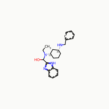 CCN(C(O)c1nc2ccccc2[nH]1)[C@H]1CCC[C@@H](NCc2ccccc2)C1